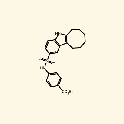 CCOC(=O)c1ccc(NS(=O)(=O)c2ccc3[nH]c4c(c3c2)CCCCCC4)cc1